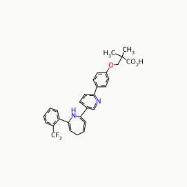 CC(C)(COc1ccc(-c2ccc(C3=C=CCC=C(c4ccccc4C(F)(F)F)N3)cn2)cc1)C(=O)O